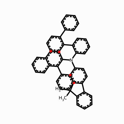 CC1(C)c2ccccc2-c2ccc(N(c3ccccc3-c3ccccc3-c3ccccc3)c3ccc4ccccc4c3-c3ccccc3)cc21